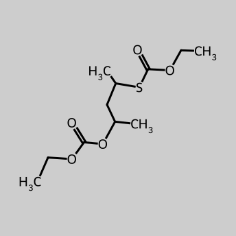 CCOC(=O)OC(C)CC(C)SC(=O)OCC